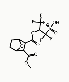 COC(=O)C1C2CCC(O2)C1C(=O)OC(C(F)(F)F)C(F)(F)S(=O)(=O)O